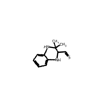 CC1(C)Nc2ccccc2NC1C=S